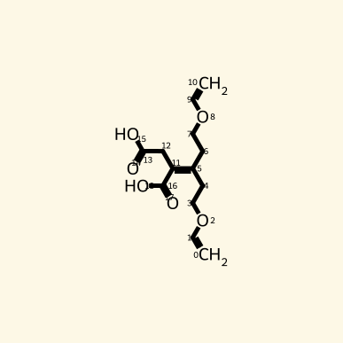 C=COCCC(CCOC=C)=C(CC(=O)O)C(=O)O